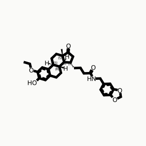 CCOc1cc2c(cc1O)CC[C@H]1[C@@H]3[C@@H](CCCC(=O)NCc4ccc5c(c4)OCO5)CC(=O)[C@@]3(C)CC[C@H]21